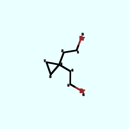 BrCCC1(CCBr)CC1